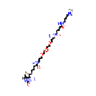 CCN(C)CCCCNC(=O)CCCC(=O)NCCCOCCOCCOCCCNC(=O)CCCC[C@@H]1SC[C@@H]2NC(=O)N[C@@H]21